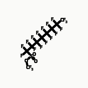 O=S(=O)(OC(F)(F)F)C(F)(F)C(F)(F)C(F)(F)C(F)(F)C(F)(F)C(F)(F)C(F)(F)C(F)(F)F